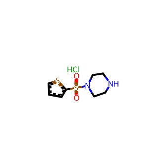 Cl.O=S(=O)(c1cccs1)N1CCNCC1